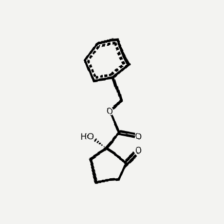 O=C1CCC[C@@]1(O)C(=O)OCc1ccccc1